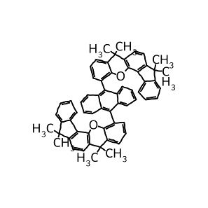 CC1(C)c2cccc(-c3c4ccccc4c(-c4cccc5c4Oc4c(ccc6c4-c4ccccc4C6(C)C)C5(C)C)c4ccccc34)c2Oc2c1ccc1c2-c2ccccc2C1(C)C